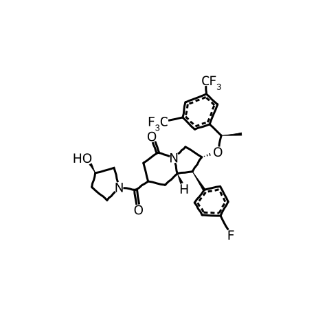 C[C@@H](O[C@H]1CN2C(=O)CC(C(=O)N3CC[C@@H](O)C3)C[C@H]2[C@@H]1c1ccc(F)cc1)c1cc(C(F)(F)F)cc(C(F)(F)F)c1